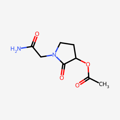 CC(=O)OC1CCN(CC(N)=O)C1=O